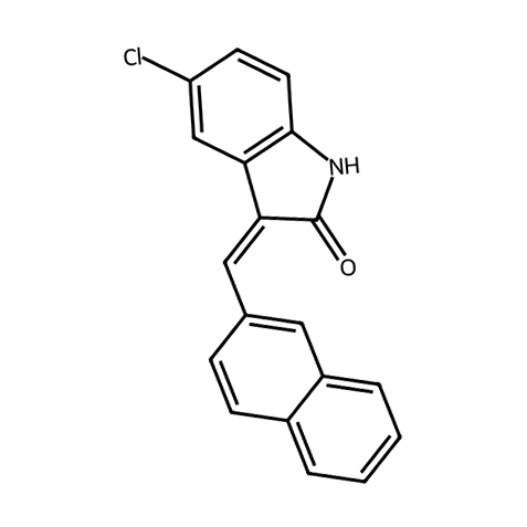 O=C1Nc2ccc(Cl)cc2C1=Cc1ccc2ccccc2c1